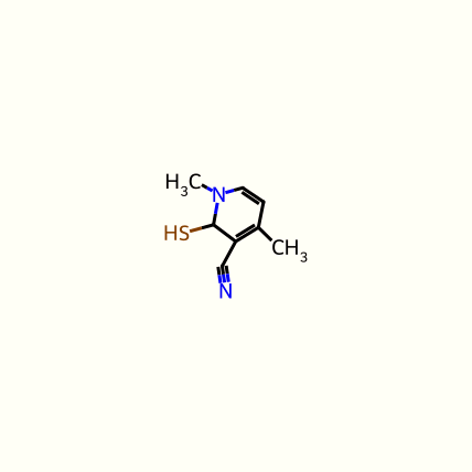 CC1=C(C#N)C(S)N(C)C=C1